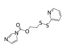 O=C(OCCSSc1ccccn1)n1ccnc1